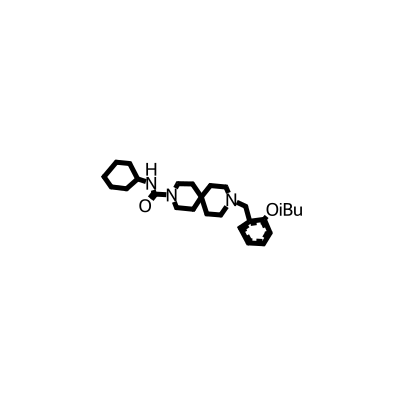 CC(C)COc1ccccc1CN1CCC2(CC1)CCN(C(=O)NC1CCCCC1)CC2